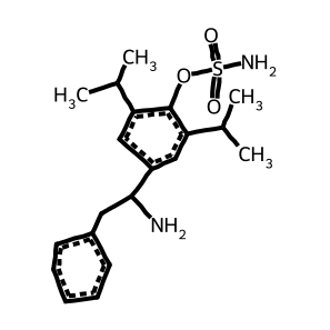 CC(C)c1cc(C(N)Cc2ccccc2)cc(C(C)C)c1OS(N)(=O)=O